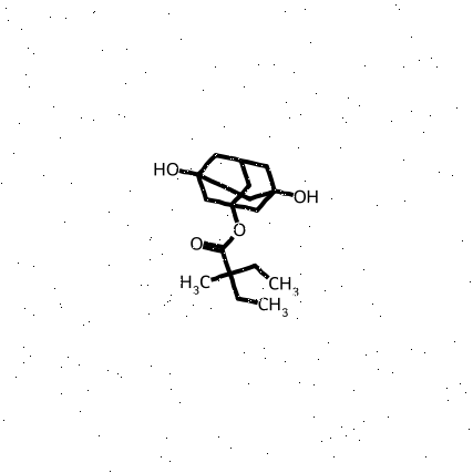 CCC(C)(CC)C(=O)OC12CC3CC(O)(CC(O)(C3)C1)C2